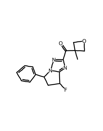 CC1(C(=O)c2nc3n(n2)C(c2ccccc2)CC3F)COC1